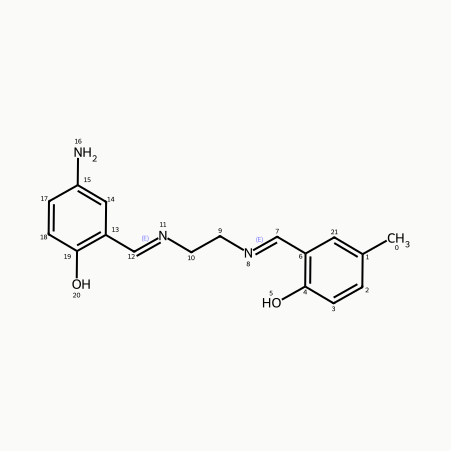 Cc1ccc(O)c(/C=N/CC/N=C/c2cc(N)ccc2O)c1